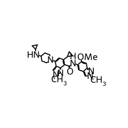 COc1cc2nn(C)cc2cc1NC(=O)c1c(C2CC2)cc(N2CCC(NC3CC3)CC2)c2cn(C)nc12